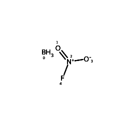 B.O=[N+]([O-])F